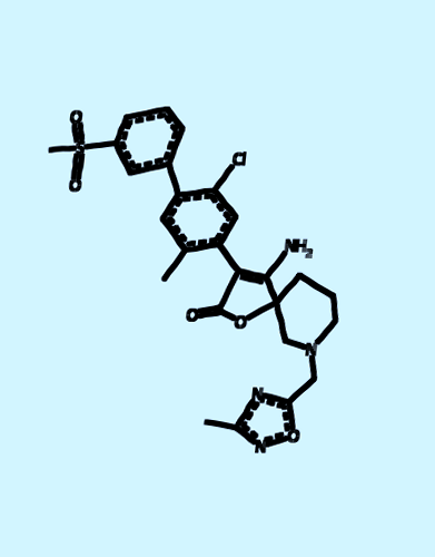 Cc1noc(CN2CCCC3(C2)OC(=O)C(c2cc(Cl)c(-c4cccc(S(C)(=O)=O)c4)cc2C)=C3N)n1